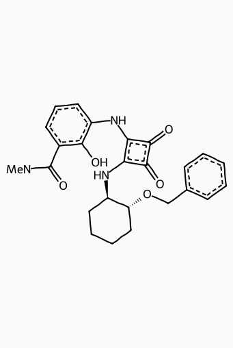 CNC(=O)c1cccc(Nc2c(N[C@@H]3CCCC[C@H]3OCc3ccccc3)c(=O)c2=O)c1O